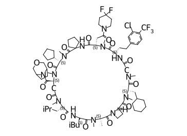 CC[C@H](C)C1NC(=O)[C@H](CC(C)C)N(C)C(=O)C[C@@H](C(=O)N2C3CCC2COC3)N(C)C(=O)[C@H](C2CCCC2)N(C)C(=O)C2(CCCC2)NC(=O)[C@H](CC(=O)N2CCC(F)(F)CC2)N(C)C(=O)[C@H](CCc2ccc(C(F)(F)F)c(Cl)c2)NC(=O)CN(C)C(=O)[C@H](CC2CCCCC2)N(C)C(=O)[C@@H]2CCN2C(=O)[C@H](C)N(C)C1=O